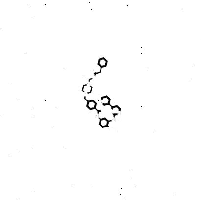 Cc1ccc(NC(=O)c2ccc(CN3CCN(COC(=O)Cc4ccccc4)CC3)cc2)cc1Nc1nccc(-c2cccnc2)n1